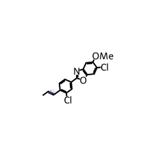 C/C=C/c1ccc(-c2nc3cc(OC)c(Cl)cc3o2)cc1Cl